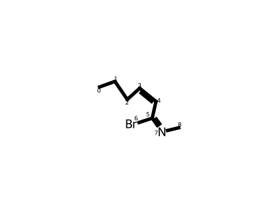 CCC/C=C\C(Br)=N/C